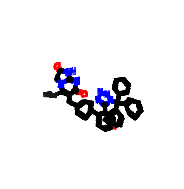 CCCCc1c(Cc2ccc(-c3ccccc3-c3nnnn3C(c3ccccc3)(c3ccccc3)c3ccccc3)cc2)c(=O)nc2n1CC(=O)N2